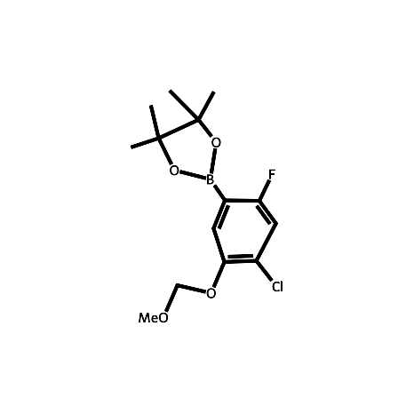 COCOc1cc(B2OC(C)(C)C(C)(C)O2)c(F)cc1Cl